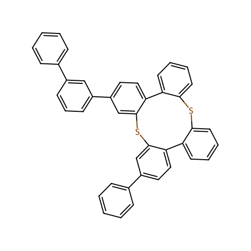 c1ccc(-c2cccc(-c3ccc4c(c3)Sc3cc(-c5ccccc5)ccc3-c3ccccc3Sc3ccccc3-4)c2)cc1